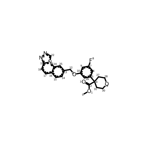 COC(=O)C1(c2cc(F)cc(OCc3ccc4ccc5nncn5c4c3)c2)CCOCC1